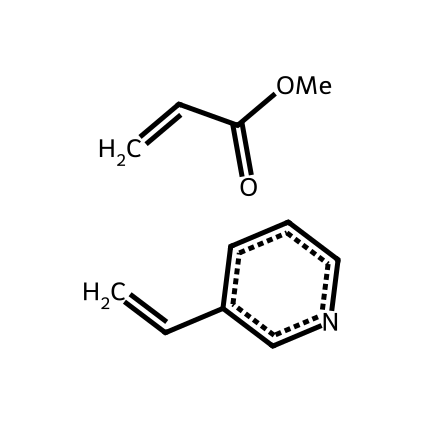 C=CC(=O)OC.C=Cc1cccnc1